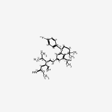 CNc1nc(NCN(/C(C=N)=C/C(=N)OC)C(C)C)nc2c1C(C)(C)CCN2c1ccc(F)cc1